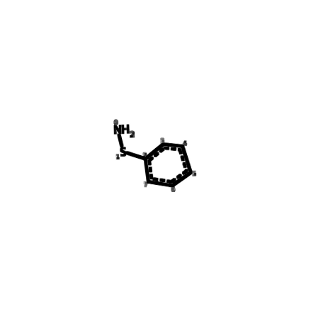 NSc1ccccc1